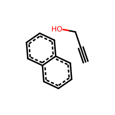 C#CCO.c1ccc2ccccc2c1